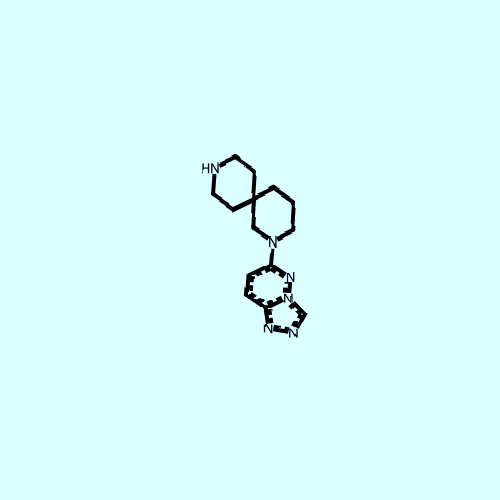 c1cc2nncn2nc1N1CCCC2(CCNCC2)C1